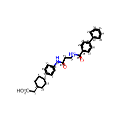 O=C(O)C[C@H]1CC[C@H](c2ccc(NC(=O)CCNC(=O)c3ccc(-c4ccccc4)cc3)cc2)CC1